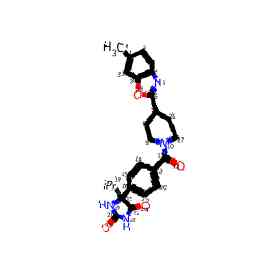 Cc1ccc2nc(C3CCN(C(=O)c4ccc(C5(C(C)C)NC(=O)NC5=O)cc4)CC3)oc2c1